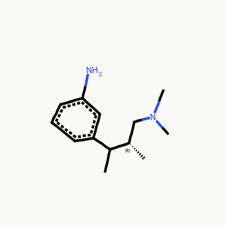 CC(c1cccc(N)c1)[C@@H](C)CN(C)C